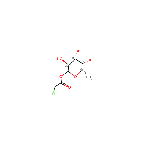 C[C@@H]1OC(OC(=O)CCl)[C@@H](O)[C@H](O)[C@@H]1O